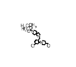 CC(C)(C)OC(=O)N1CCC2(CCN(Cc3ccc(Cl)cc3N3CCC(C=O)CC3)C2)CC1